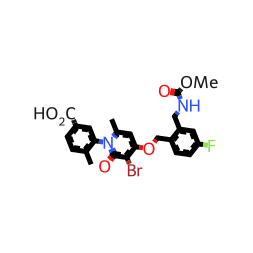 COC(=O)NCc1cc(F)ccc1COc1cc(C)n(-c2cc(C(=O)O)ccc2C)c(=O)c1Br